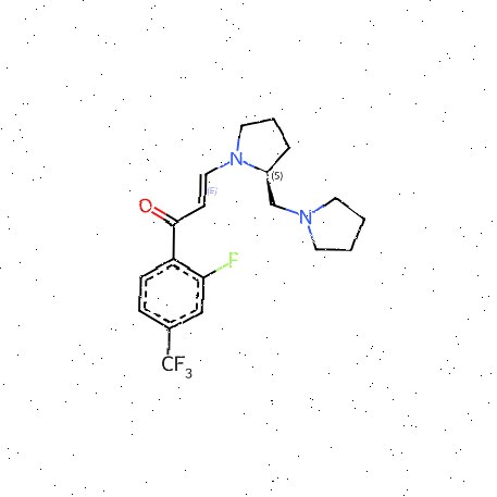 O=C(/C=C/N1CCC[C@H]1CN1CCCC1)c1ccc(C(F)(F)F)cc1F